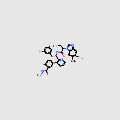 CCC(C(=O)N[C@@H](Cc1cc(F)cc(F)c1)c1ncccc1-c1ccc(F)c(C(=O)NC)c1)n1cnc2cc(C)c(C)cc21